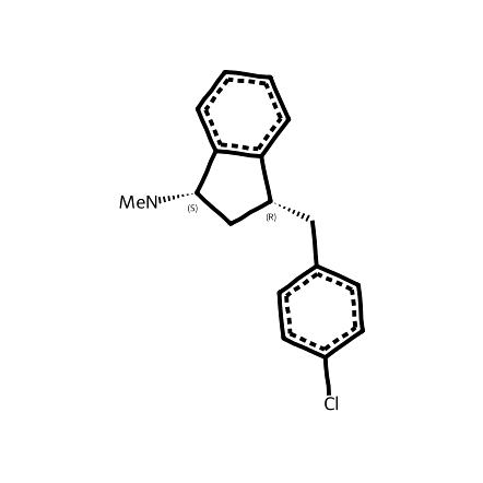 CN[C@H]1C[C@@H](Cc2ccc(Cl)cc2)c2ccccc21